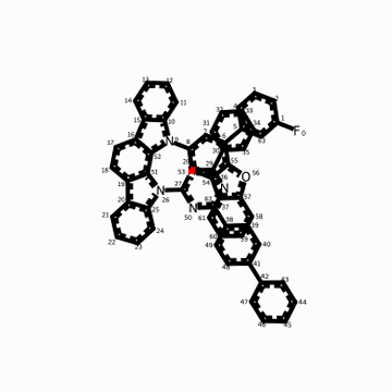 Fc1cccc(-c2cc(-n3c4ccccc4c4ccc5c6ccccc6n(-c6nc(-c7ccccc7)nc(-c7ccc(-c8ccccc8)cc7)n6)c5c43)cc3c2oc2ccccc23)c1